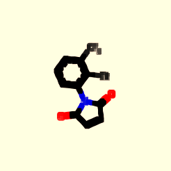 CCc1c(N2C(=O)C=CC2=O)cccc1C(F)(F)F